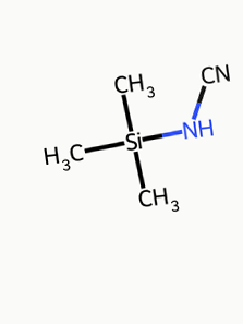 C[Si](C)(C)NC#N